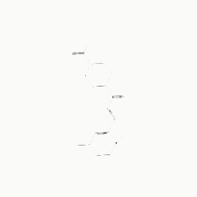 CC(=O)N1CCN(C(=O)/C=C/C2=CC(C)CCC2(C)C)CC1